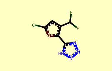 FC(F)c1cc(Cl)sc1-c1nnn[nH]1